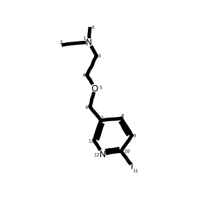 CN(C)CCOCc1ccc(I)nc1